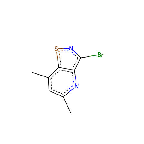 Cc1cc(C)c2snc(Br)c2n1